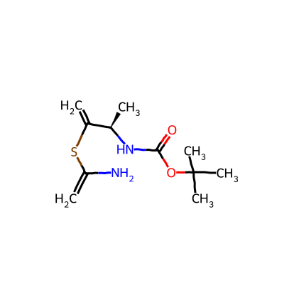 C=C(N)SC(=C)[C@@H](C)NC(=O)OC(C)(C)C